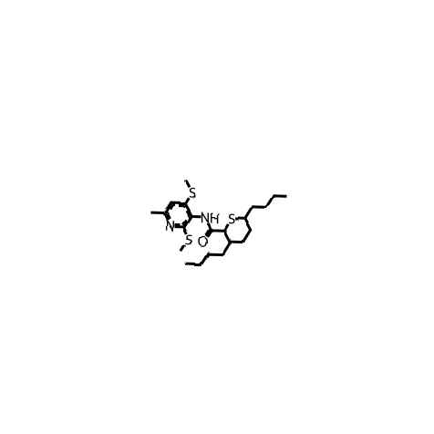 CCCCC1CCC(CCCC)C(C(=O)Nc2c(SC)cc(C)nc2SC)S1